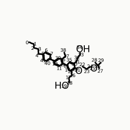 CCCCCc1ccc(-c2ccc(-c3cc(CCCO)c(OCCCOC(C)(C)C)c(CCCO)c3)c(CC)c2)cc1